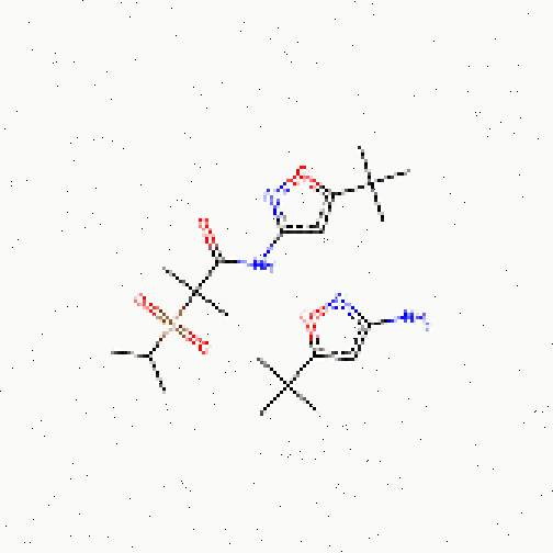 CC(C)(C)c1cc(N)no1.CC(C)S(=O)(=O)C(C)(C)C(=O)Nc1cc(C(C)(C)C)on1